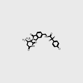 BC1CC(=O)NC(=O)[C@]1(B)N1Cc2cc(CNC(=O)C(F)(F)c3ccc(Cl)cc3)ccc2C1=O